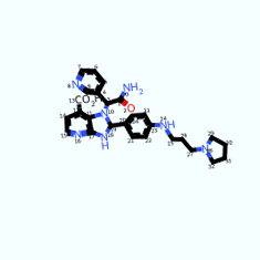 NC(=O)C(c1cccnc1)N1c2c(C(=O)O)ccnc2NC1c1ccc(NCCCN2CCCC2)cc1